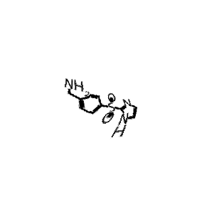 NCc1ccc(S(=O)(=O)c2ncc[nH]2)cc1